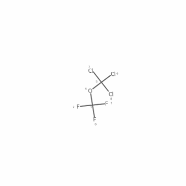 FC(F)(F)OC(Cl)(Cl)Cl